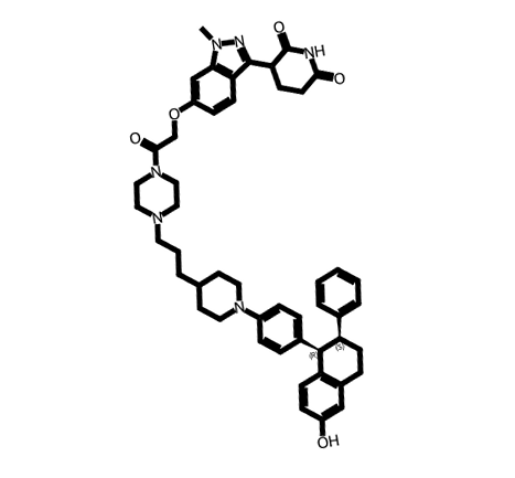 Cn1nc(C2CCC(=O)NC2=O)c2ccc(OCC(=O)N3CCN(CCCC4CCN(c5ccc([C@@H]6c7ccc(O)cc7CC[C@@H]6c6ccccc6)cc5)CC4)CC3)cc21